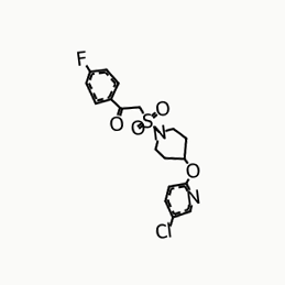 O=C(CS(=O)(=O)N1CCC(Oc2ccc(Cl)cn2)CC1)c1ccc(F)cc1